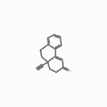 C#CC12CCC(=O)C=C1c1ccccc1CC2